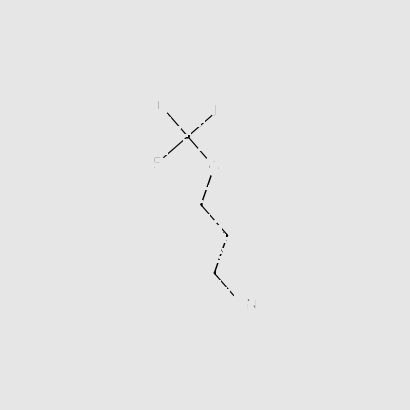 N#CC[CH]COC(F)(F)F